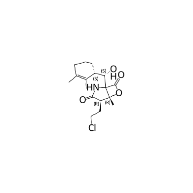 CC1=C(C)[C@@H]([C@H](O)C23NC(=O)[C@H](CCCl)[C@@]2(C)OC3=O)CCC1